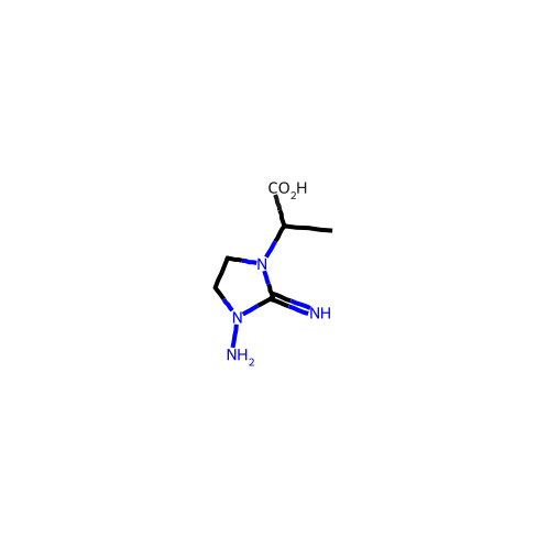 CC(C(=O)O)N1CCN(N)C1=N